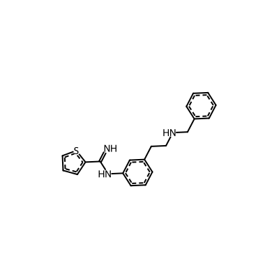 N=C(Nc1cccc(CCNCc2ccccc2)c1)c1cccs1